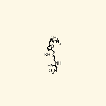 CN(C)Cc1ccc(CSCCN/C(S)=C/[N+](=O)[O-])o1.[KH]